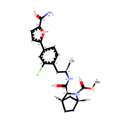 CC(C)(C)OC(=O)N1[C@@H]2CC[C@@H](C2)[C@H]1C(=O)N[C@H](C#N)Cc1ccc(-c2ccc(C(N)=O)o2)cc1F